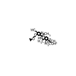 C#Cc1cc2nc(C)nc(N[C@H](C)c3cccc(C(F)(F)C(C)(C)O)c3F)c2cc1OCCOC1CC1